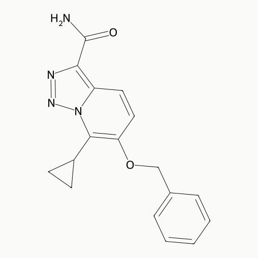 NC(=O)c1nnn2c(C3CC3)c(OCc3ccccc3)ccc12